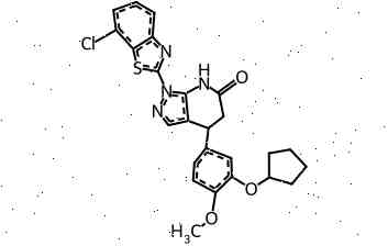 COc1ccc(C2CC(=O)Nc3c2cnn3-c2nc3cccc(Cl)c3s2)cc1OC1CCCC1